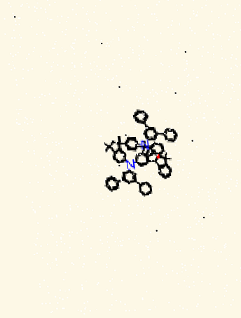 CC1(C)CC(C)(c2ccc(N(c3cc(-c4ccccc4)cc(-c4ccccc4)c3)c3ccc4c(c3)C(C)(C)c3ccccc3-4)cc2)c2cc(N(c3cc(-c4ccccc4)cc(-c4ccccc4)c3)c3ccc4c(c3)C(C)(C)c3ccccc3-4)ccc21